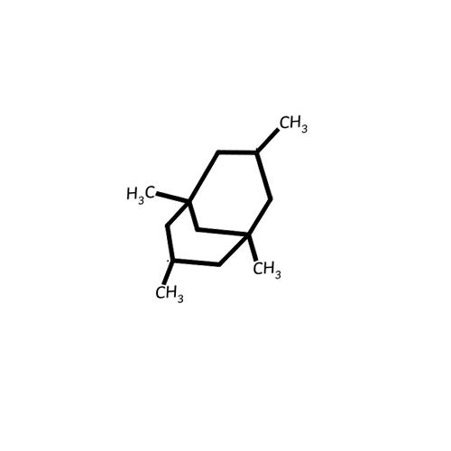 C[C]1CC2(C)C[C](C)CC(C)(C1)C2